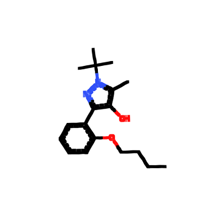 CCCCOc1ccccc1-c1nn(C(C)(C)C)c(C)c1O